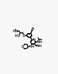 CNCC(O)COc1cc(C#N)cc(-c2cc(NC3CCOCC3)c(C=N)c(NC(C)C)n2)c1